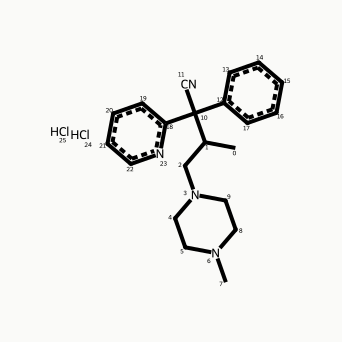 CC(CN1CCN(C)CC1)C(C#N)(c1ccccc1)c1ccccn1.Cl.Cl